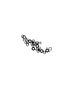 Cc1cc(Oc2ccc(S(=O)(=O)N(Cc3ccccc3)c3ccc(O)c(C(=O)NS(=O)(=O)c4ccc(NCC5CCOCC5)c([N+](=O)[O-])c4)c3)cc2)cc(C)c1Cl